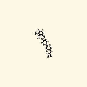 Cc1ccc(OCC2=CCC(C3CCC(CC4CCC4)CC3)CC2)c(F)c1F